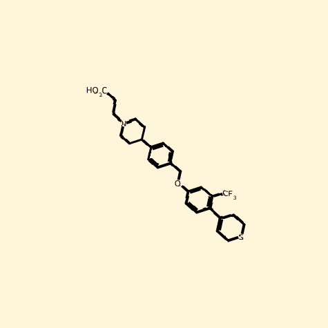 O=C(O)CCN1CCC(c2ccc(COc3ccc(C4=CCSCC4)c(C(F)(F)F)c3)cc2)CC1